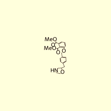 COC(=O)c1cccc(OCc2ccc(CC3CNCCO3)cc2)c1C(=O)OC